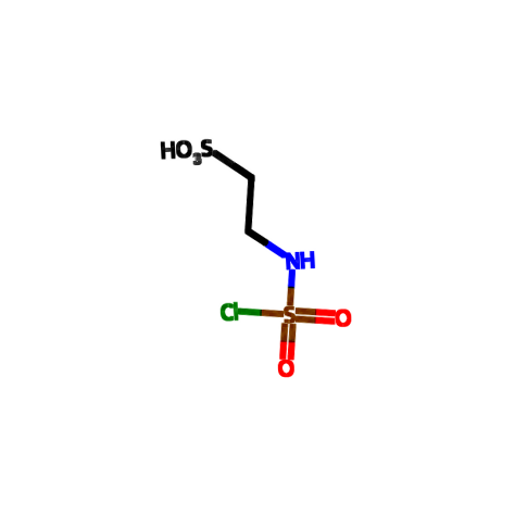 O=S(=O)(O)CCNS(=O)(=O)Cl